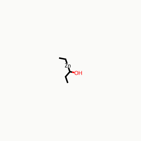 C[CH2][Zn][CH](O)CC